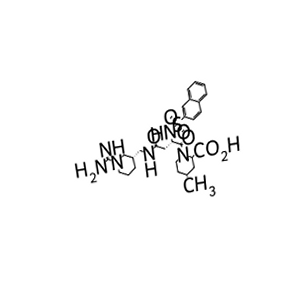 C[C@@H]1CCN(C(=O)[C@H](CC(=O)NC[C@@H]2CCCN(C(=N)N)C2)NS(=O)(=O)c2ccc3ccccc3c2)C(C(=O)O)C1